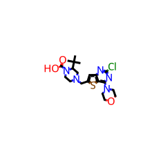 CC(C)(C)C1CN(Cc2cc3nc(Cl)nc(N4CCOCC4)c3s2)CCN1C(=O)O